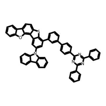 c1ccc(-c2nc(-c3ccccc3)nc(-c3ccc(-c4cccc(-c5cc(-n6c7ccccc7c7ccccc76)cc6c5sc5ccc7c8ccccc8oc7c56)c4)cc3)n2)cc1